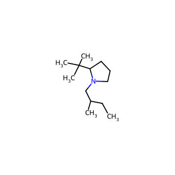 CCC(C)CN1CCCC1C(C)(C)C